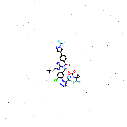 CC(C)(C)CCNC(=N)N(C(=O)c1ccc(-c2cnn(C(F)F)c2)cc1)[C@H](COC(=O)NC1(C(F)F)CC1)c1ccc(Cl)c(-n2ncnc2C(F)F)c1